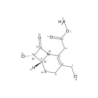 BOC(=O)CC1=C(CCl)CS[C@@H]2[C@H](Cl)C(=O)N12